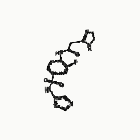 O=C(CC1=NCCN1)Nc1ccc(S(=O)(=O)Nc2cncs2)cc1F